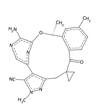 Cc1ccc2c(c1)[C@@H](C)Oc1nc(cnc1N)-c1c(nn(C)c1C#N)CC1(CC1)C2=O